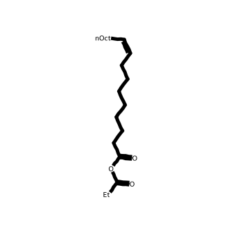 CCCCCCCC/C=C\CCCCCCCC(=O)OC(=O)CC